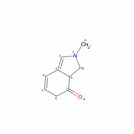 [CH2]N1C=C2C=CCC(=O)C2C1